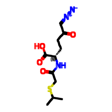 CC(C)SCC(=O)N[C@@H](CCC(=O)C=[N+]=[N-])C(=O)O